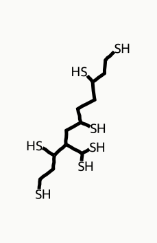 SCCC(S)CCC(S)CC(C(S)S)C(S)CCS